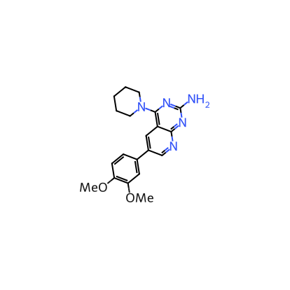 COc1ccc(-c2cnc3nc(N)nc(N4CCCCC4)c3c2)cc1OC